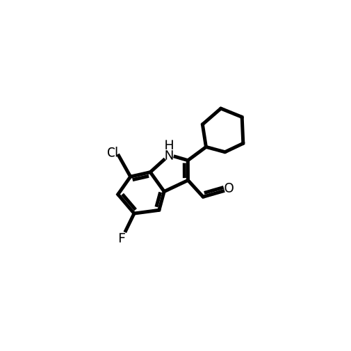 O=Cc1c(C2CCCCC2)[nH]c2c(Cl)cc(F)cc12